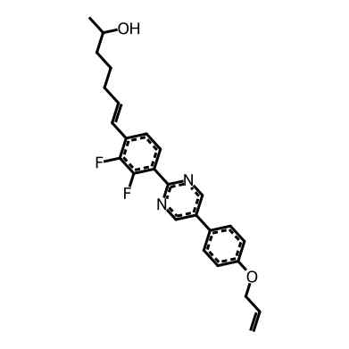 C=CCOc1ccc(-c2cnc(-c3ccc(C=CCCCC(C)O)c(F)c3F)nc2)cc1